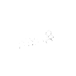 CC(C)C(O)C(C)CC(C)(C)N1CCC(CNC(=O)n2c(=O)[nH]c3ccccc32)CC1